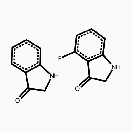 O=C1CNc2cccc(F)c21.O=C1CNc2ccccc21